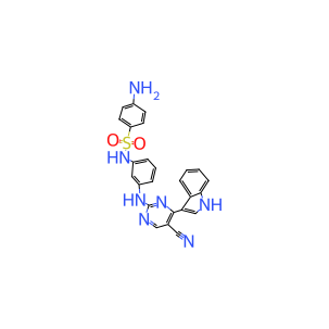 N#Cc1cnc(Nc2cccc(NS(=O)(=O)c3ccc(N)cc3)c2)nc1-c1c[nH]c2ccccc12